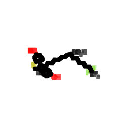 CCC1(c2ccc(O)cc2)CSc2cc(O)ccc2C1CCCCCCCCC(CCCCCCC(F)(F)C(F)(F)F)C(=O)O